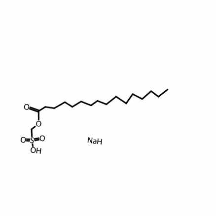 CCCCCCCCCCCCCCCC(=O)OCS(=O)(=O)O.[NaH]